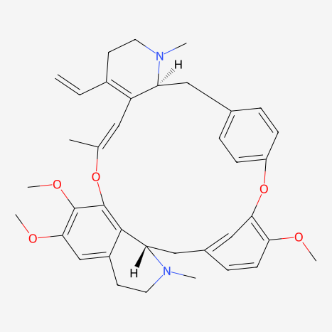 C=CC1=C2/C=C(\C)Oc3c(OC)c(OC)cc4c3[C@H](Cc3ccc(OC)c(c3)Oc3ccc(cc3)C[C@@H]2N(C)CC1)N(C)CC4